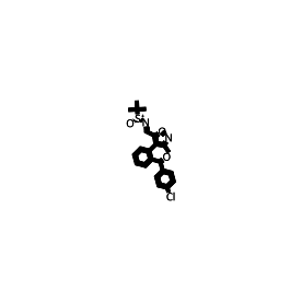 Cc1noc(/C=N/[S@@+]([O-])C(C)(C)C)c1-c1ccccc1C(=O)c1ccc(Cl)cc1